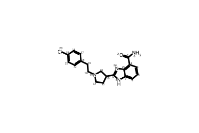 NC(=O)c1cccc2[nH]c(C3CCN(CCc4ccc(Cl)cc4)C3)nc12